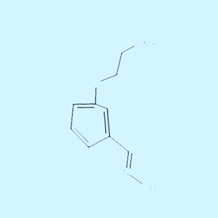 C/N=C/c1cccc(OCCOC)c1